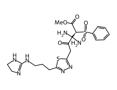 COC(=O)[C@H](C(N)(N)C(=O)Cc1nnc(CCCNC2=NCCN2)s1)S(=O)(=O)c1ccccc1